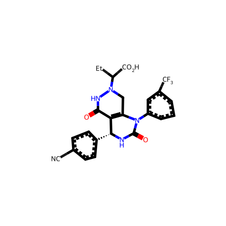 CCC(C(=O)O)N1CC2=C(C(=O)N1)[C@@H](c1ccc(C#N)cc1)NC(=O)N2c1cccc(C(F)(F)F)c1